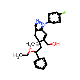 CCOC(C[C@@]1(C)Cc2cnn(-c3ccc(F)cc3)c2C=C1CO)c1ccccc1